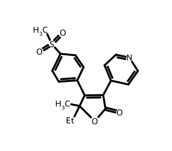 CCC1(C)OC(=O)C(c2ccncc2)=C1c1ccc(S(C)(=O)=O)cc1